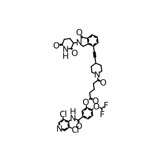 O=C1CCC(N2Cc3c(C#CC4CCN(C(=O)CCCC(=O)Oc5cc(C(=O)Nc6c(Cl)cncc6Cl)ccc5OC(F)F)CC4)cccc3C2=O)C(=O)N1